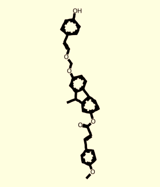 COc1ccc(C=CC(=O)Oc2ccc3c(c2)C(C)c2cc(OCOC=Cc4ccc(O)cc4)ccc2-3)cc1